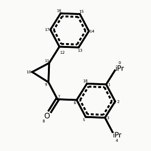 CC(C)c1[c]c(C(C)C)cc(C(=O)C2CC2c2ccccc2)c1